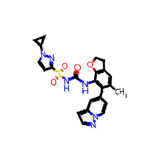 Cc1cc2c(c(NC(=O)NS(=O)(=O)c3ccn(C4CC4)n3)c1-c1ccn3nccc3c1)OCC2